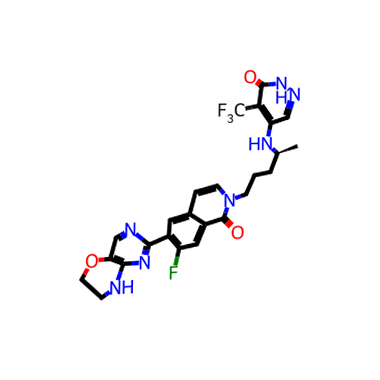 C[C@@H](CCCn1ccc2cc(-c3ncc4c(n3)NCCO4)c(F)cc2c1=O)Nc1cn[nH]c(=O)c1C(F)(F)F